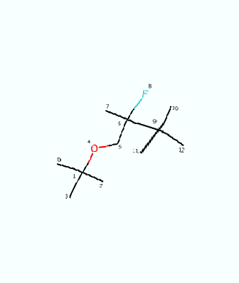 CC(C)(C)OCC(C)(F)C(C)(C)C